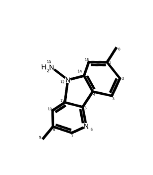 Cc1ccc2c3ncc(C)cc3n(N)c2c1